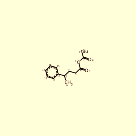 CC(CCC(=O)OC(=O)C(C)(C)C)c1ccccc1